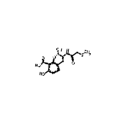 CSCC(=O)N[C@H]1Cc2ccc(O)c(C(=O)O)c2OB1O